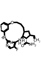 C=CC1CC2CCCOc3cccc(c3)Nc3ncc(F)c(n3)N[C@H]2[C@H]1C(N)=O